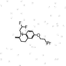 C=C1CCc2cc(OCCC(C)C)ccc2N1CC(F)F